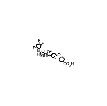 O=C(Nc1cnc(O[C@H]2CC[C@H](C(=O)O)CC2)cc1F)c1nnc(Nc2cc(F)c(F)cc2F)o1